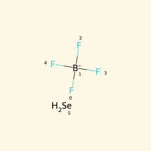 F[B-](F)(F)F.[SeH2]